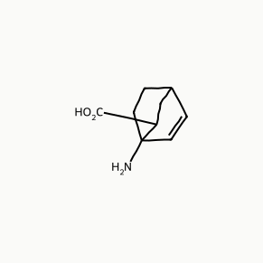 NC12C=CC(CC1)CC2C(=O)O